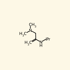 C=C(CN(C)C)NC(C)C